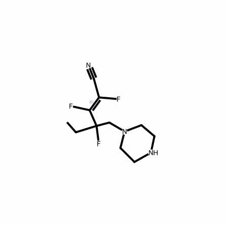 CCC(F)(CN1CCNCC1)/C(F)=C(\F)C#N